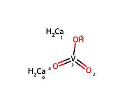 [CaH2].[CaH2].[O]=[V](=[O])[OH]